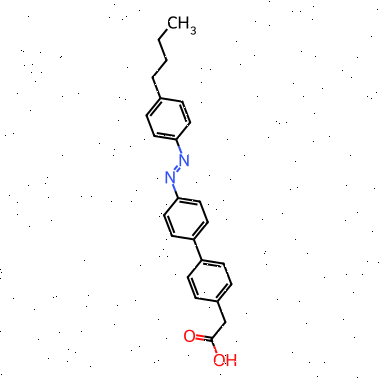 CCCCc1ccc(/N=N/c2ccc(-c3ccc(CC(=O)O)cc3)cc2)cc1